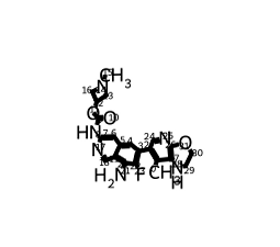 Cc1c(-c2cc3cc(NC(=O)OC4CN(C)C4)ncc3c(N)c2F)cnc2c1NCCO2